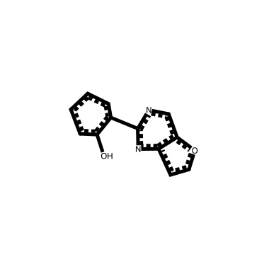 Oc1ccccc1-c1ncc2occc2n1